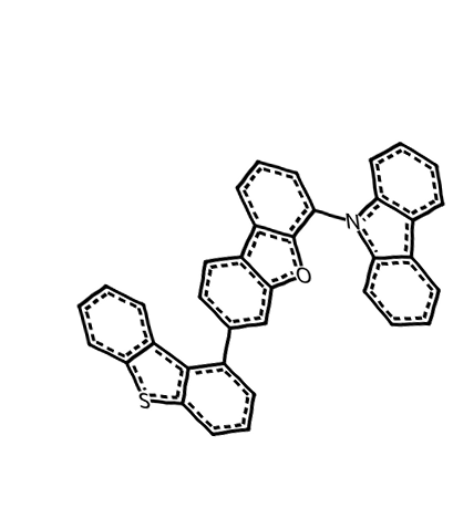 c1ccc2c(c1)sc1cccc(-c3ccc4c(c3)oc3c(-n5c6ccccc6c6ccccc65)cccc34)c12